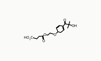 CC(C)(O)C(=O)C1=CCC(OCCOC(=O)CCC(=O)O)C=C1